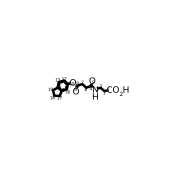 O=C(O)CCNC(=O)CCC(=O)Oc1ccc2c(c1)CCC2